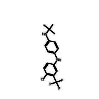 CC(C)(C)Nc1ccc(Nc2ccc(Cl)c(C(F)(F)F)c2)cc1